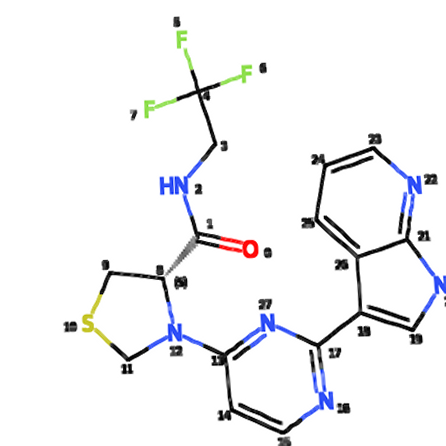 O=C(NCC(F)(F)F)[C@H]1CSCN1c1ccnc(-c2c[nH]c3ncccc23)n1